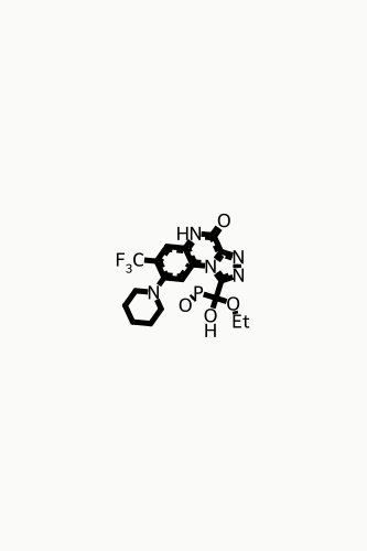 CCOC(O)(P=O)c1nnc2c(=O)[nH]c3cc(C(F)(F)F)c(N4CCCCC4)cc3n12